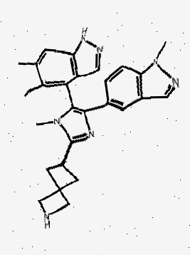 Cc1cc2[nH]ncc2c(-c2c(-c3ccc4c(cnn4C)c3)nc(C3CC4(CNC4)C3)n2C)c1C